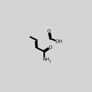 CC=CC(N)=O.O=CO